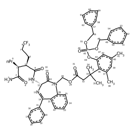 CCC[C@H](C(N)=O)[C@@H](CCC(F)(F)F)C(=O)N[C@H]1N=C(c2ccccc2)c2ccccc2N(COC(=O)CC(C)(C)c2c(C)cc(C)cc2OP(=O)(OCc2ccccc2)OCc2ccccc2)C1=O